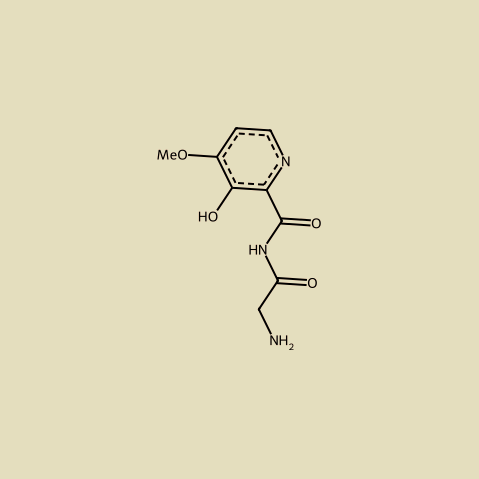 COc1ccnc(C(=O)NC(=O)CN)c1O